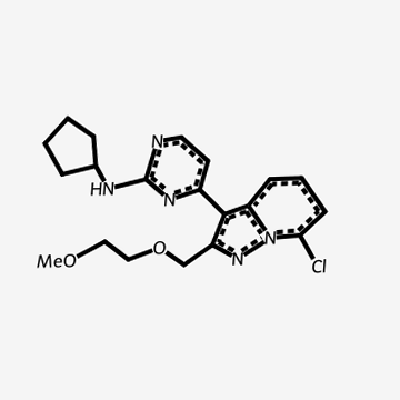 COCCOCc1nn2c(Cl)cccc2c1-c1ccnc(NC2CCCC2)n1